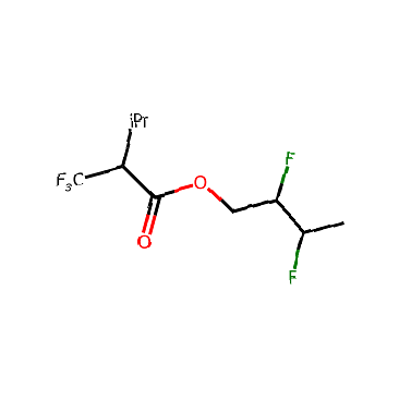 CC(C)C(C(=O)OCC(F)C(C)F)C(F)(F)F